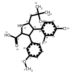 COc1cccc(C2C(C(=O)O)NC(CC(C)(C)C)C2c2ccc(Cl)cc2F)c1